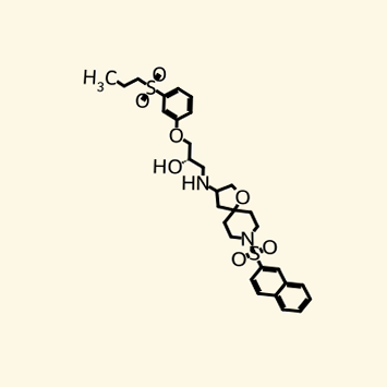 CCCS(=O)(=O)c1cccc(OC[C@@H](O)CNC2COC3(CCN(S(=O)(=O)c4ccc5ccccc5c4)CC3)C2)c1